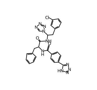 O=C(NC(Cc1ccccc1)C(=O)NC(Cc1cccc(Cl)c1)n1cnnn1)c1ccc(-c2nnn[nH]2)cc1